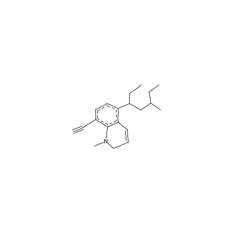 C#Cc1ccc(C(CC)CC(C)CC)c2c1N(C)CC=C2